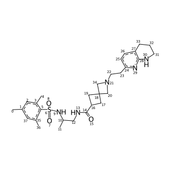 Cc1cc(C)c(S(=O)(=O)NC(C)CNC(=O)C2CC3(C2)CN(CCc2ccc4c(n2)NCCC4)C3)c(C)c1